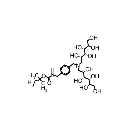 CC(C)(C)OC(=O)NCc1ccc(CN(C[C@H](O)[C@@H](O)[C@H](O)[C@H](O)CO)C[C@H](O)[C@@H](O)[C@H](O)[C@H](O)CO)cc1